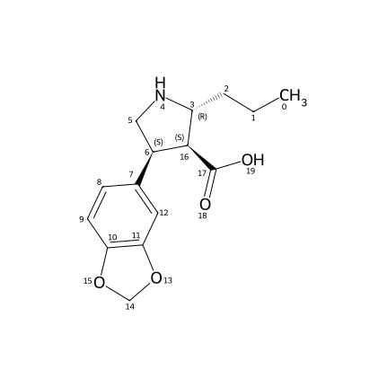 CCC[C@H]1NC[C@H](c2ccc3c(c2)OCO3)[C@@H]1C(=O)O